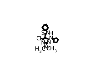 CN(C)c1nc(Cl)c(-c2nc3ccccc3s2)c(NC2CCCC2)n1